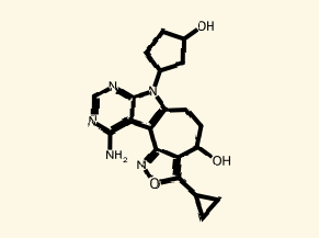 Nc1ncnc2c1c1c(n2C2CCC(O)C2)CCC(O)c2c-1noc2C1CC1